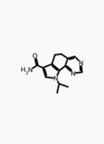 CC(C)n1cc(C(N)=O)c2c1-c1ncncc1CC2